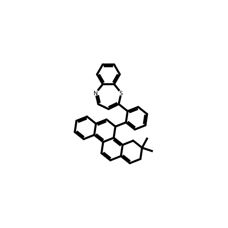 CC1(C)CC=c2ccc3c(c2C1)C(c1ccccc1C1=CC=Nc2ccccc2S1)C=c1ccccc1=3